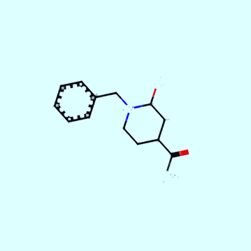 COC(=O)C1CCN(Cc2ccccc2)C(O)C1